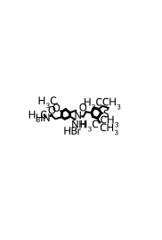 Br.CCOc1cc2c(cc1CC(=O)NC)C(=N)N(CC(=O)c1cc(C(C)(C)C)c3c(c1)C(C)(C)CS3)C2